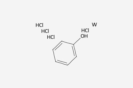 Cl.Cl.Cl.Cl.Oc1ccccc1.[W]